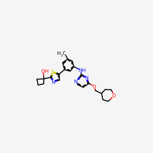 Cc1cc(Nc2nccc(OCC3CCOCC3)n2)cc(-c2cnc(C3(O)CCC3)s2)c1